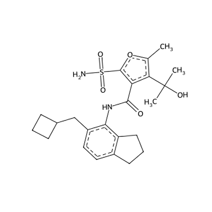 Cc1oc(S(N)(=O)=O)c(C(=O)Nc2c(CC3CCC3)ccc3c2CCC3)c1C(C)(C)O